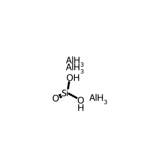 O=[Si](O)O.[AlH3].[AlH3].[AlH3]